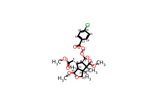 COC(=O)C[C@@H]1[C@@H](C(=O)OOC(=O)c2ccc(Cl)cc2)[C@@](C)(C(=O)OC)[C@@]2(C)COC(OC)[C@@H]12